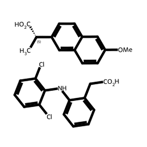 COc1ccc2cc([C@H](C)C(=O)O)ccc2c1.O=C(O)Cc1ccccc1Nc1c(Cl)cccc1Cl